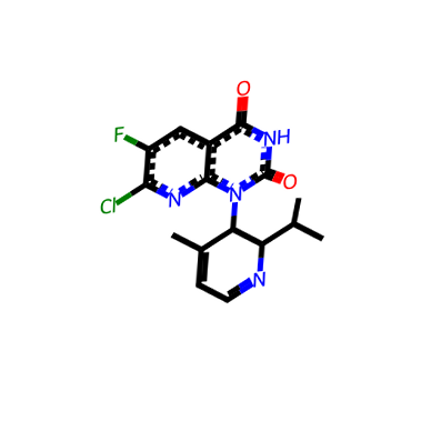 CC1=CC=NC(C(C)C)C1n1c(=O)[nH]c(=O)c2cc(F)c(Cl)nc21